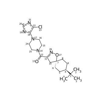 CC(C)(C)[C@H]1CC[C@]2(CC1)CC(C(=O)N1CCN(c3nsnc3Cl)CC1)=NO2